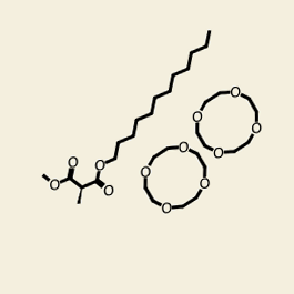 C1COCCOCCOCCO1.C1COCCOCCOCCO1.CCCCCCCCCCCCOC(=O)[C@@H](C)C(=O)OC